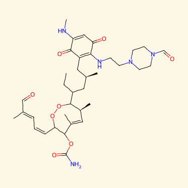 CCC(C[C@H](C)CC1=C(NCCN2CCN(C=O)CC2)C(=O)C=C(NC)C1=O)C1OOC(/C=C\C=C(/C)C=O)C(OC(N)=O)/C(C)=C/[C@@H]1C